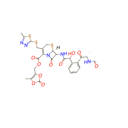 Cc1nnc(SCC2=C(C(=O)OCc3oc(=O)oc3C)N3C(=O)C(NC(=O)C(O)c4ccccc4C(=O)[C@H](C)NC=O)[C@@H]3SC2)s1